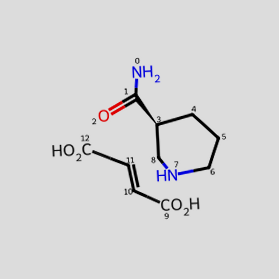 NC(=O)[C@H]1CCCNC1.O=C(O)/C=C/C(=O)O